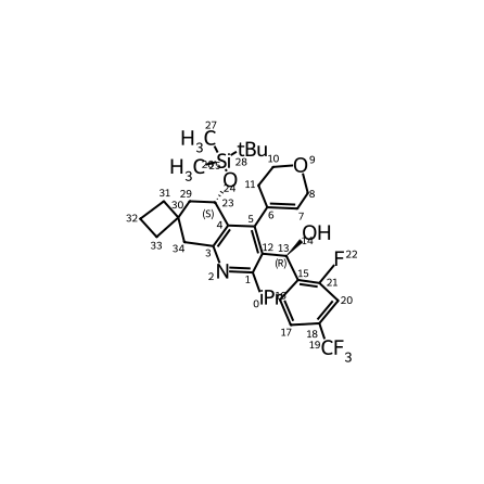 CC(C)c1nc2c(c(C3=CCOCC3)c1[C@@H](O)c1ccc(C(F)(F)F)cc1F)[C@@H](O[Si](C)(C)C(C)(C)C)CC1(CCC1)C2